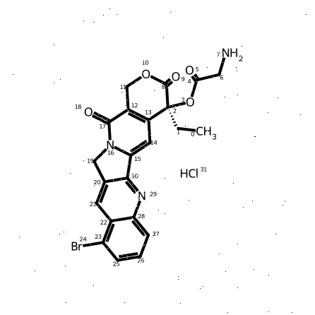 CC[C@@]1(OC(=O)CN)C(=O)OCc2c1cc1n(c2=O)Cc2cc3c(Br)cccc3nc2-1.Cl